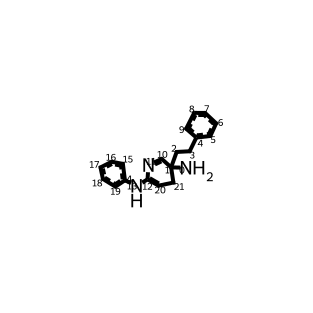 NC1(CCc2ccccc2)C=NC(Nc2ccccc2)=CC1